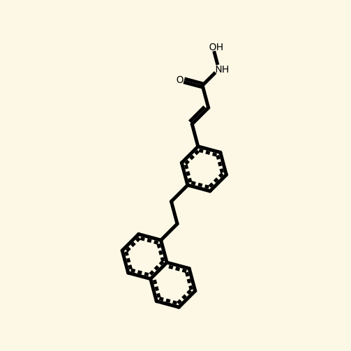 O=C(/C=C/c1cccc(CCc2cccc3ccccc23)c1)NO